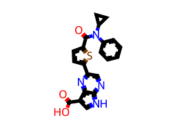 O=C(O)c1c[nH]c2ncc(-c3ccc(C(=O)N(c4ccccc4)C4CC4)s3)nc12